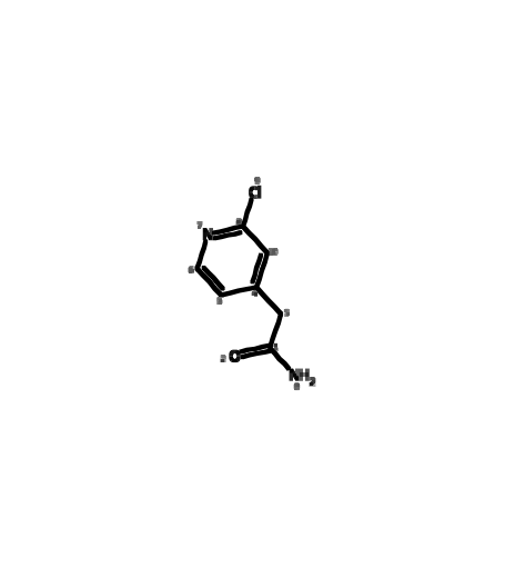 NC(=O)Cc1ccnc(Cl)c1